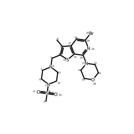 Cc1c(CN2CCN(S(C)(=O)=O)CC2)sc2c(N3CCOCC3)nc(Br)cc12